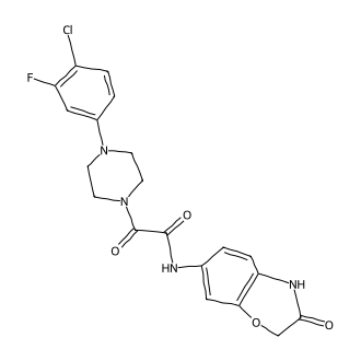 O=C1COc2cc(NC(=O)C(=O)N3CCN(c4ccc(Cl)c(F)c4)CC3)ccc2N1